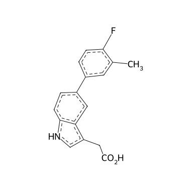 Cc1cc(-c2ccc3[nH]cc(CC(=O)O)c3c2)ccc1F